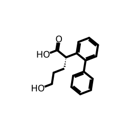 O=C(O)[C@@H](CCCO)c1ccccc1-c1ccccc1